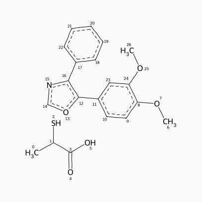 CC(S)C(=O)O.COc1ccc(-c2ocnc2-c2ccccc2)cc1OC